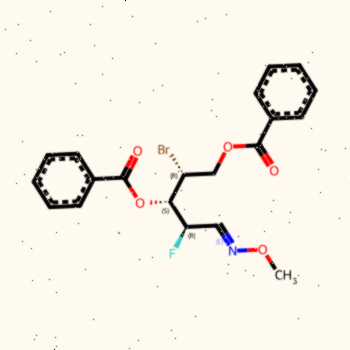 CO/N=C/[C@@H](F)[C@H](OC(=O)c1ccccc1)[C@H](Br)COC(=O)c1ccccc1